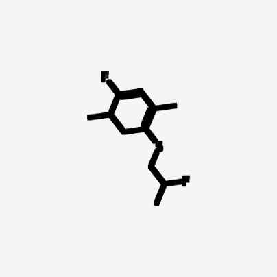 CC1=C(SCC(C)F)CC(C)C(F)=C1